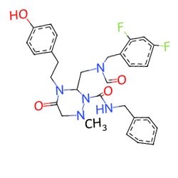 CN1CC(=O)N(CCc2ccc(O)cc2)C(CN(C=O)Cc2ccc(F)cc2F)N1C(=O)NCc1ccccc1